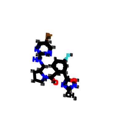 Cc1noc(-c2cc(F)ccc2C(=O)N2CCCC2CNc2ncc(Br)cn2)n1